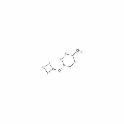 CC1CCC(OC2CCC2)CC1